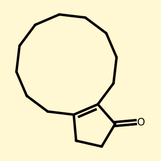 O=C1CCC2=C1CCCCCCCCCC2